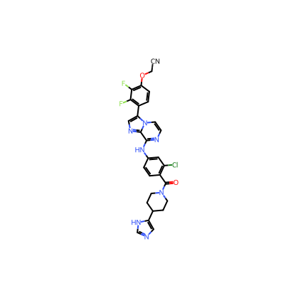 N#CCOc1ccc(-c2cnc3c(Nc4ccc(C(=O)N5CCC(c6cnc[nH]6)CC5)c(Cl)c4)nccn23)c(F)c1F